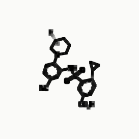 N#Cc1ccc(N2CCC[C@@H](F)C2)c(NS(=O)(=O)c2cc(C(=O)O)ccc2C2CC2)c1